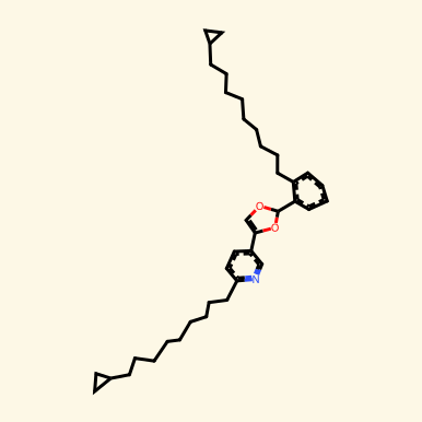 C1=C(c2ccc(CCCCCCCCCC3CC3)nc2)OC(c2ccccc2CCCCCCCCCC2CC2)O1